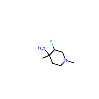 CN1CCC(C)(N)C(F)C1